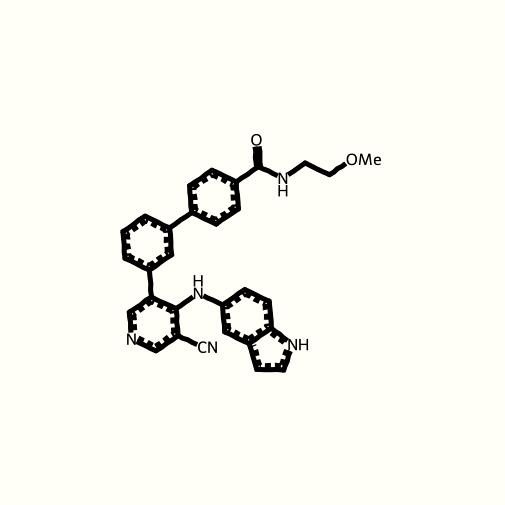 COCCNC(=O)c1ccc(-c2cccc(-c3cncc(C#N)c3Nc3ccc4[nH]ccc4c3)c2)cc1